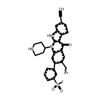 C#Cc1ccc2c(c1)[nH]c1c2c(=O)c2cc(CC(C)C)c(-c3cccc(S(=O)(=O)F)c3)cc2n1C1CCNCC1